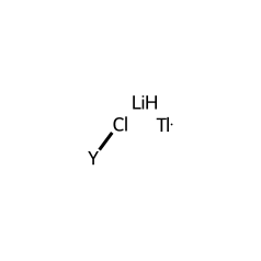 [Cl][Y].[LiH].[Tl]